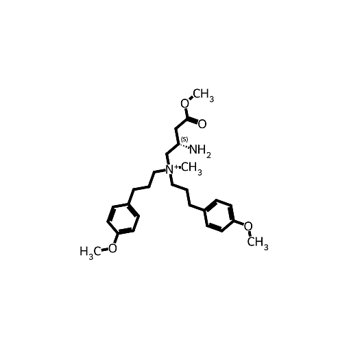 COC(=O)C[C@H](N)C[N+](C)(CCCc1ccc(OC)cc1)CCCc1ccc(OC)cc1